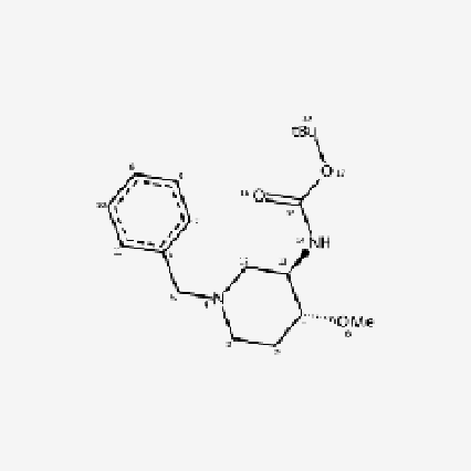 CO[C@@H]1CCN(Cc2ccccc2)C[C@H]1NC(=O)OC(C)(C)C